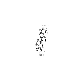 C[C@H](CO)n1ccc2c(NC(=O)Cc3ccc(C(F)(F)F)cc3F)cccc2c1=O